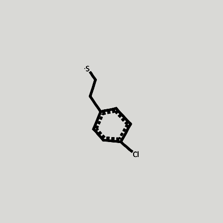 [S]CCc1ccc(Cl)cc1